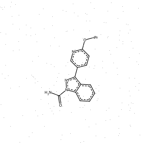 CC(C)Oc1ccc(-c2nn(C(N)=O)c3cc[c]cc23)cn1